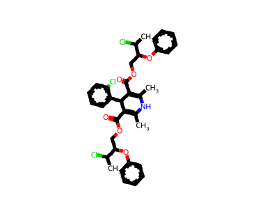 CC1=C(C(=O)OCC(Oc2ccccc2)C(C)Cl)C(c2ccccc2Cl)C(C(=O)OCC(Oc2ccccc2)C(C)Cl)=C(C)N1